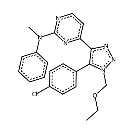 CCOCn1nnc(-c2ccnc(N(C)c3ccccc3)n2)c1-c1ccc(Cl)cc1